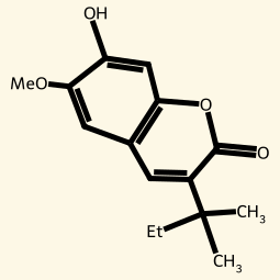 CCC(C)(C)c1cc2cc(OC)c(O)cc2oc1=O